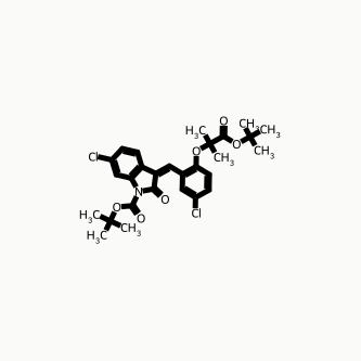 CC(C)(C)OC(=O)N1C(=O)C(=Cc2cc(Cl)ccc2OC(C)(C)C(=O)OC(C)(C)C)c2ccc(Cl)cc21